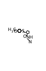 COc1ccc(SCC2CCCC2C(=O)NCC#N)cc1